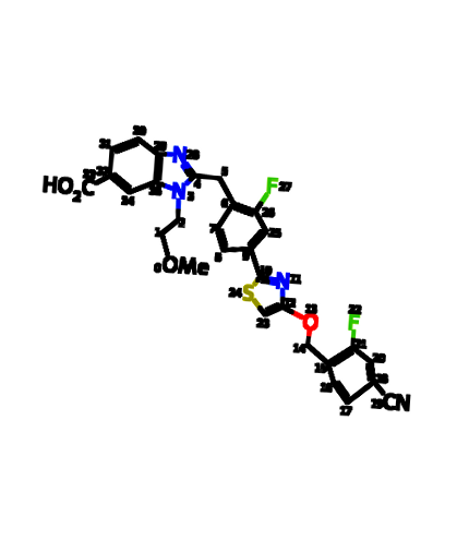 COCCn1c(Cc2ccc(-c3nc(OCc4ccc(C#N)cc4F)cs3)cc2F)nc2ccc(C(=O)O)cc21